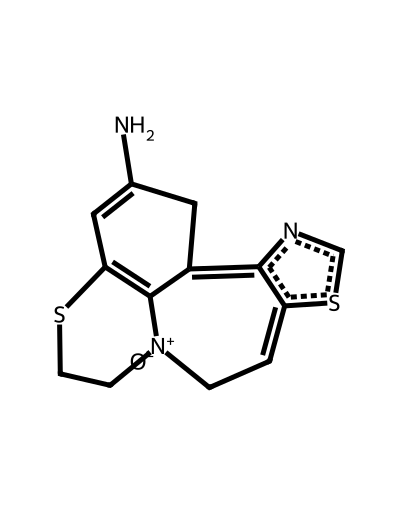 NC1=CC2=C3C(=c4ncsc4=CC[N+]3([O-])CCS2)C1